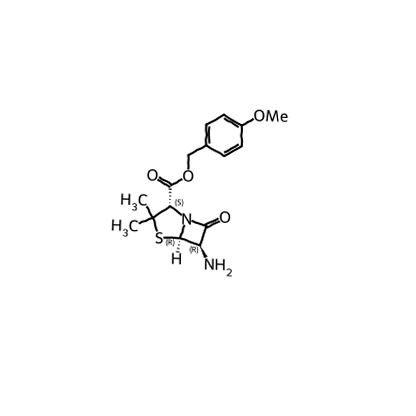 COc1ccc(COC(=O)[C@@H]2N3C(=O)[C@@H](N)[C@H]3SC2(C)C)cc1